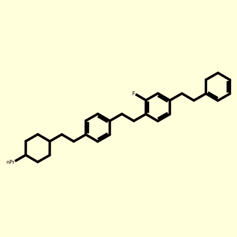 CCCC1CCC(CCc2ccc(CCc3ccc(CCC4=CC=CCC4)cc3F)cc2)CC1